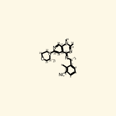 Cc1c(C#N)cccc1[C@@H](C)/N=c1\nc(C)n(C)c2cnc(N3CCOC[C@H]3C)cc12